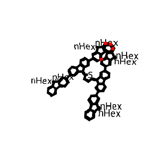 CCCCCCC1(CCCCCC)c2ccccc2-c2ccc(-c3ccc4c(c3)C(=c3ccc(=C5c6cc(-c7ccc8c(c7)C(CCCCCC)(CCCCCC)c7ccccc7-8)ccc6-c6ccc(-c7ccc8c(c7)C(CCCCCC)(CCCCCC)c7ccccc7-8)cc65)s3)c3cc(-c5ccc6c(c5)C(CCCCCC)(CCCCCC)c5ccccc5-6)ccc3-4)cc21